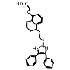 O=C(O)COc1cccc2c1CCCC2CCSc1nc(-c2ccccc2)c(-c2ccccc2)[nH]1